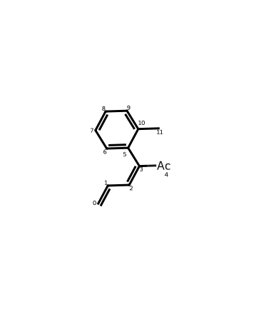 C=C/C=C(/C(C)=O)c1ccccc1C